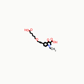 CCn1cc(C(=O)O)c(=O)c2cc(C#CCOCCCCCC(=O)O)ccc21